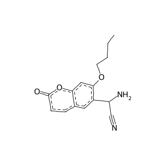 CCCCOc1cc2oc(=O)ccc2cc1C(N)C#N